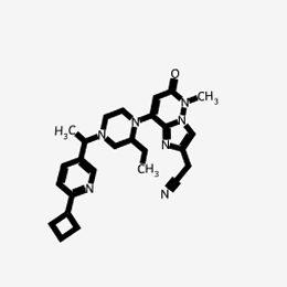 CCC1CN(C(C)c2ccc(C3CCC3)nc2)CCN1c1cc(=O)n(C)n2cc(CC#N)nc12